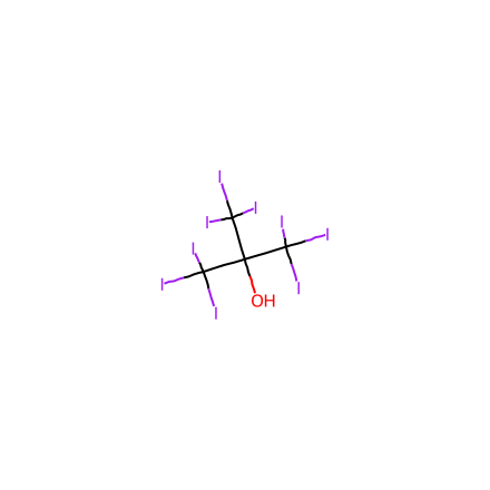 OC(C(I)(I)I)(C(I)(I)I)C(I)(I)I